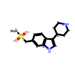 CNS(=O)(=O)Cc1ccc2c(C3CCNCC3)c[nH]c2c1